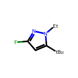 CCn1nc(F)cc1C(C)(C)C